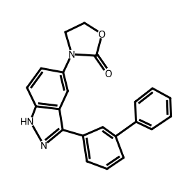 O=C1OCCN1c1ccc2[nH]nc(-c3cccc(-c4ccccc4)c3)c2c1